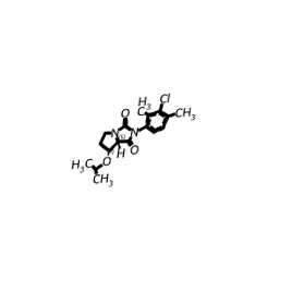 Cc1ccc(N2C(=O)[C@@H]3[C@H](OC(C)C)CCN3C2=O)c(C)c1Cl